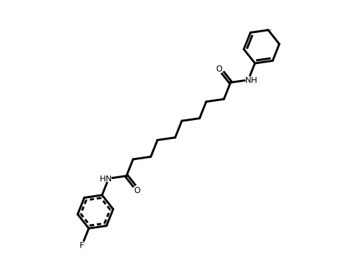 O=C(CCCCCCCCC(=O)Nc1ccc(F)cc1)NC1=CC[CH]C=C1